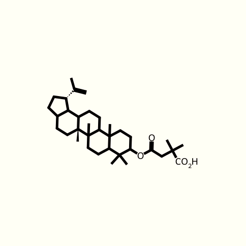 C=C(C)[C@H]1CCC2CC[C@]3(C)C(CCC4C5(C)CCC(OC(=O)CC(C)(C)C(=O)O)C(C)(C)C5CCC43C)C21